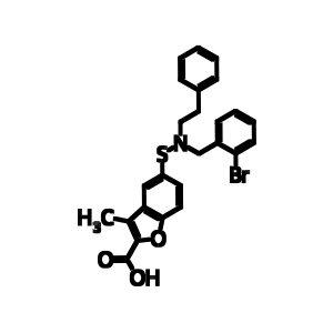 Cc1c(C(=O)O)oc2ccc(SN(CCc3ccccc3)Cc3ccccc3Br)cc12